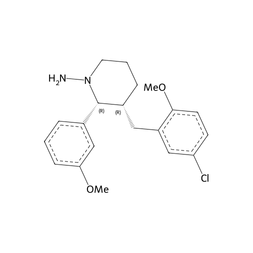 COc1cccc([C@H]2[C@@H](Cc3cc(Cl)ccc3OC)CCCN2N)c1